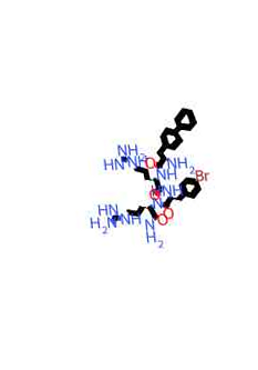 N=C(N)NCCC[C@H](NC(=O)[C@H](Cc1ccc(Br)cc1)NC(=O)[C@H](CCCNC(=N)N)NC(=O)[C@@H](N)Cc1ccc(-c2ccccc2)cc1)C(N)=O